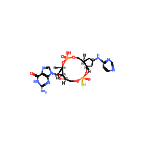 C[C@H]1[C@H]2OP(=O)(O)OC[C@H]3C[C@@H](Nc4ccncn4)C[C@@H]3OP(=O)(S)OC[C@H]1O[C@H]2n1cnc2c(=O)[nH]c(N)nc21